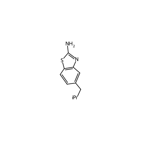 CC(C)Cc1ccc2sc(N)nc2c1